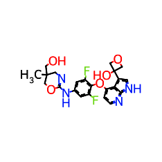 CC1(CO)CN=C(Nc2cc(F)c(Oc3ccnc4[nH]cc(C5(O)COC5)c34)c(F)c2)OC1